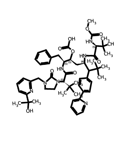 COC(=O)N[C@H](C(=O)N[C@H](C[C@H](OC(=O)O)[C@H](Cc1ccccc1)NC(=O)[C@@H](N1CCN(Cc2cccc(C(C)(C)O)n2)C1=O)C(C)(C)C)C(c1ccc(-c2ccccn2)cc1)C(C)(C)C)C(C)(C)C